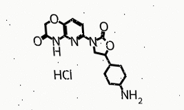 Cl.NC1CCC(C2CN(c3ccc4c(n3)NC(=O)CO4)C(=O)O2)CC1